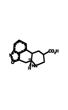 O=C(O)C1CN[C@@H]2Cc3onc4cccc(c34)C2C1